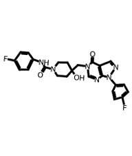 O=C(Nc1ccc(F)cc1)N1CCC(O)(Cn2cnc3c(cnn3-c3ccc(F)cc3)c2=O)CC1